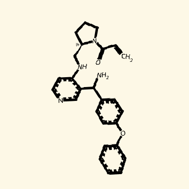 C=CC(=O)N1CCC[C@@H]1CNc1ccncc1C(N)c1ccc(Oc2ccccc2)cc1